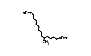 CCCCCCCCCCCCCCCCC[CH]C(C)CCCCCCCCCCCCCC